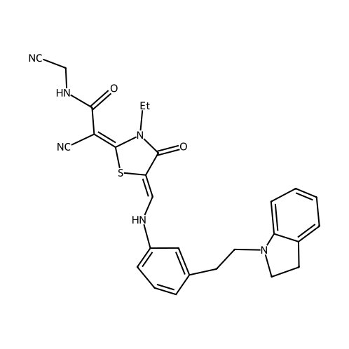 CCn1c(=C(C#N)C(=O)NCC#N)sc(=CNc2cccc(CCN3CCc4ccccc43)c2)c1=O